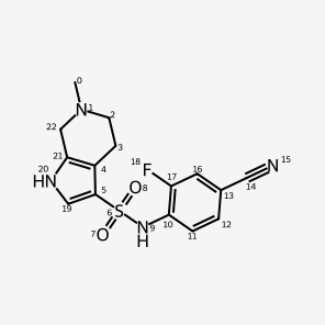 CN1CCc2c(S(=O)(=O)Nc3ccc(C#N)cc3F)c[nH]c2C1